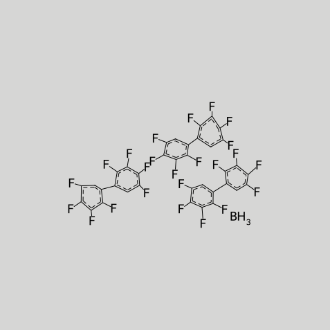 B.Fc1cc(-c2cc(F)c(F)c(F)c2F)c(F)c(F)c1F.Fc1cc(-c2cc(F)c(F)c(F)c2F)c(F)c(F)c1F.Fc1cc(-c2cc(F)c(F)c(F)c2F)c(F)c(F)c1F